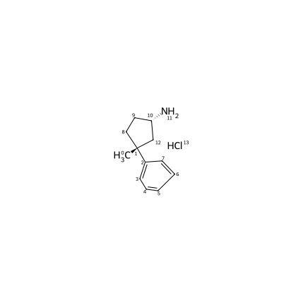 C[C@@]1(c2ccccc2)CC[C@H](N)C1.Cl